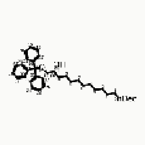 CCCCCCCCCCCCCCCCCCCC[C@@H](O)COC(c1ccccc1)(c1ccccc1)c1ccccc1